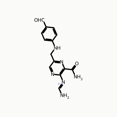 N/C=N/c1ncc(CNc2ccc(C=O)cc2)nc1C(N)=O